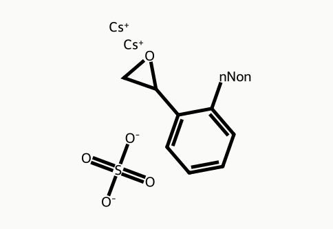 CCCCCCCCCc1ccccc1C1CO1.O=S(=O)([O-])[O-].[Cs+].[Cs+]